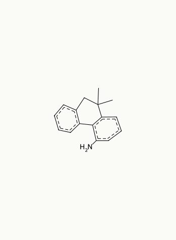 CC1(C)Cc2ccccc2-c2c(N)cccc21